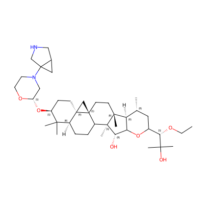 CCO[C@@H](C1C[C@@H](C)[C@H]2C(O1)[C@H](O)[C@@]1(C)C3CC[C@H]4C(C)(C)[C@@H](O[C@H]5CN(C67CNCC6C7)CCO5)CC[C@@]45C[C@@]35CC[C@]21C)C(C)(C)O